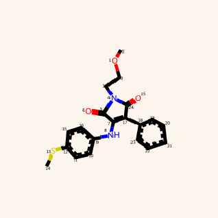 COCCN1C(=O)C(Nc2ccc(SC)cc2)=C(c2ccccc2)C1=O